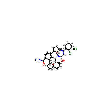 NC(=O)c1ccc(C2CCCC2)c(C(c2ccccc2O)N2CCN(c3cccc(Cl)c3Cl)CC2)c1C1CCCC1